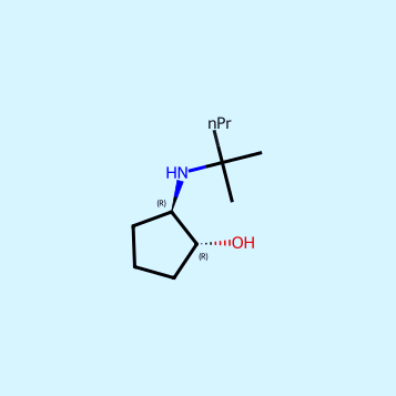 CCCC(C)(C)N[C@@H]1CCC[C@H]1O